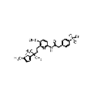 CCS(=O)(=O)c1ccc(CC(=O)Nc2ccc(C=O)c(CCC(C)(C)c3ccc(C)s3)n2)cc1